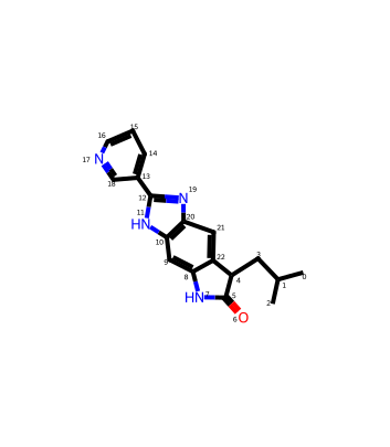 CC(C)CC1C(=O)Nc2cc3[nH]c(-c4cccnc4)nc3cc21